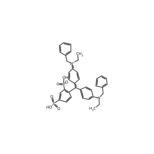 CCN(Cc1ccccc1)c1ccc(C(=C2C=CC(=[N+](CC)Cc3ccccc3)C=C2)c2ccc(S(=O)(=O)O)cc2S(=O)(=O)O)cc1